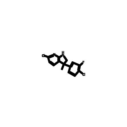 CC1(c2ccc(Cl)c(F)c2)CNc2nc(Cl)ccc21